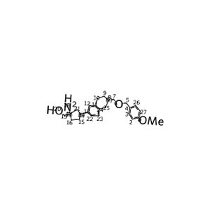 COc1ccc(COC[C@@H]2CCc3cc([C@H]4CC[C@](N)(CO)C4)ccc3C2)cc1